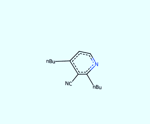 CCCCc1ccnc(CCCC)c1C#N